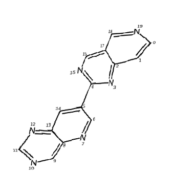 c1cc2nc(-c3cnc4cncnc4c3)ncc2cn1